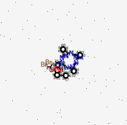 O=C(OC(CBr)CBr)c1cccc(-c2ccccc2)c1Oc1c(F)ccc2c1C1(F)NC2=NC2=NC(=Nc3[nH]c(c4ccccc34)N=C3N=C(c4ccccc43)N1F)c1ccccc12